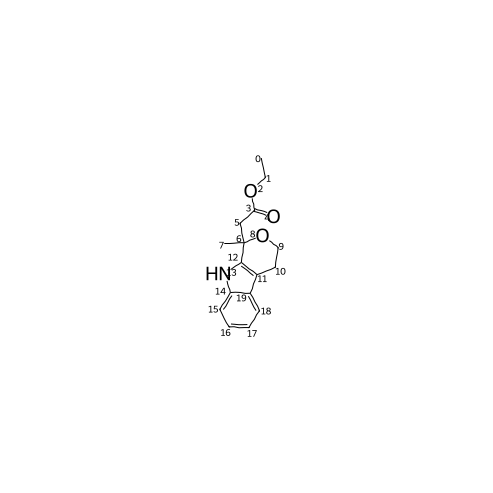 CCOC(=O)CC1(C)OCCc2c1[nH]c1ccccc21